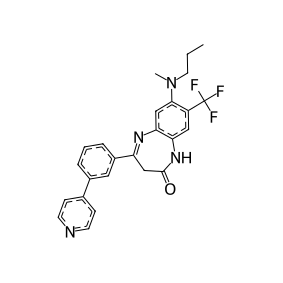 CCCN(C)c1cc2c(cc1C(F)(F)F)NC(=O)CC(c1cccc(-c3ccncc3)c1)=N2